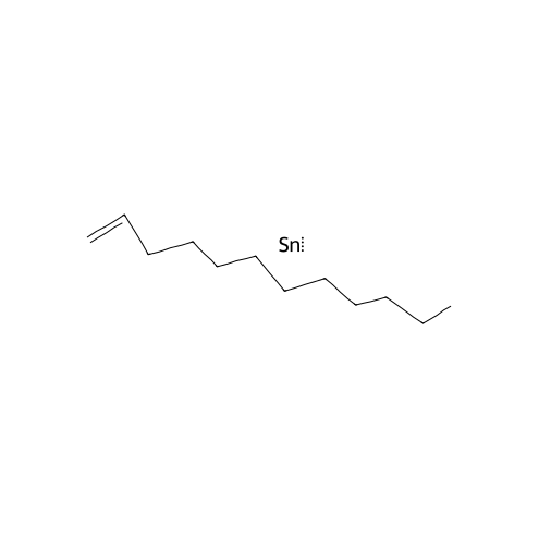 C=CCCCCCCCCCC.[Sn]